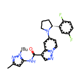 Cc1cc(NC(=O)c2cnn3ccc(N4CCC[C@@H]4c4cc(F)ccc4F)cc23)n(C(C)(C)C)n1